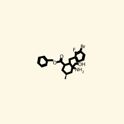 C[C@H]1CC(C(=O)OCc2ccccc2)C(Cc2cccc(Br)c2F)C(N)(CO)C1